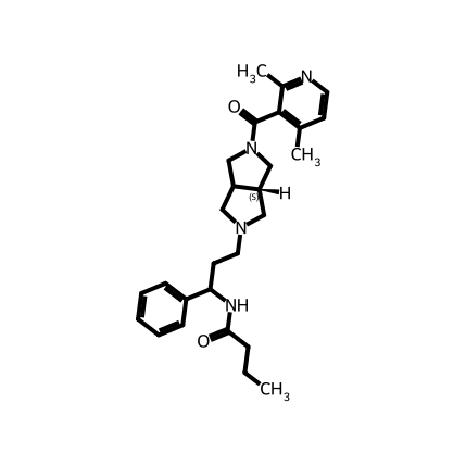 CCCC(=O)NC(CCN1CC2CN(C(=O)c3c(C)ccnc3C)C[C@@H]2C1)c1ccccc1